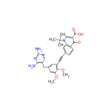 COc1cc(Cc2cnc(N)nc2N)cc(C#Cc2ccc3c(=O)c(C(=O)O)cn(C(C)(C)C)c3c2)c1OC